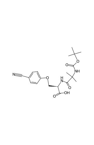 CC(C)(C)OC(=O)NC(C)(C)C(=O)N[C@H](COc1ccc(C#N)cc1)C(=O)O